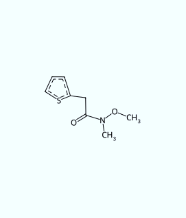 CON(C)C(=O)Cc1cccs1